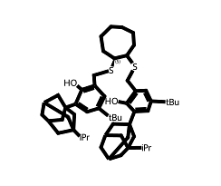 CC(C)C12CC3CC(CC(c4cc(C(C)(C)C)cc(CSC5CCCCCC[C@@H]5SCc5cc(C(C)(C)C)cc(C67CC8CC(C6)CC(C(C)C)(C8)C7)c5O)c4O)(C3)C1)C2